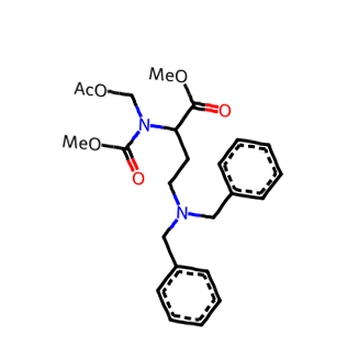 COC(=O)C(CCN(Cc1ccccc1)Cc1ccccc1)N(COC(C)=O)C(=O)OC